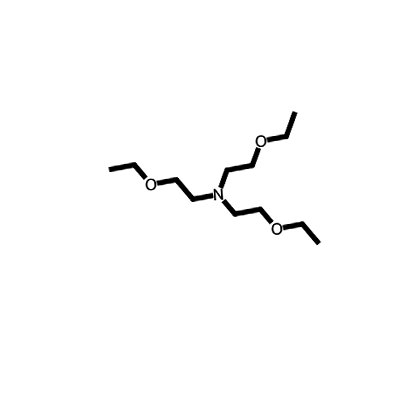 CCOCCN(CCOCC)CCOCC